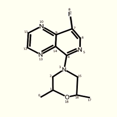 CC1CN(c2ncc(F)c3nccnc23)CC(C)O1